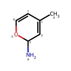 CC1=CC(N)OC=C1